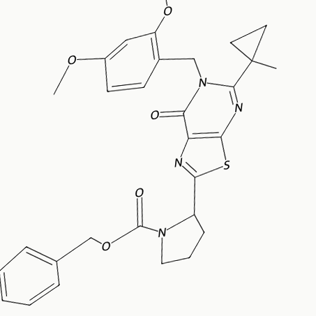 COc1ccc(Cn2c(C3(C)CC3)nc3sc(C4CCCN4C(=O)OCc4ccccc4)nc3c2=O)c(OC)c1